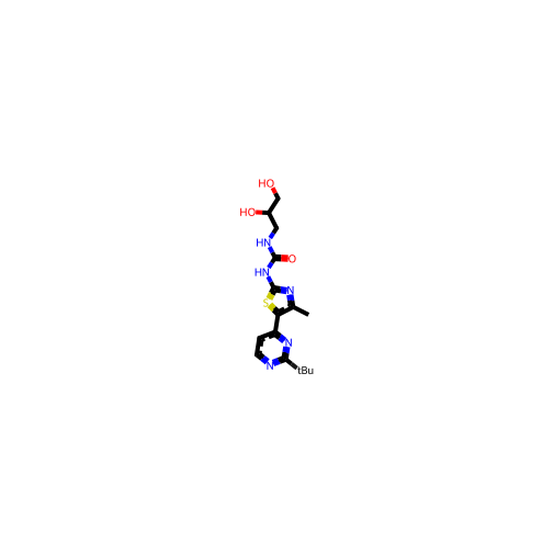 Cc1nc(NC(=O)NCC(O)CO)sc1-c1ccnc(C(C)(C)C)n1